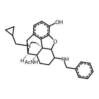 CC(=O)N[C@@]12CCC(NCc3ccccc3)C3Oc4c(O)ccc5c4[C@@]31CCN(CC1CC1)[C@@H]2C5